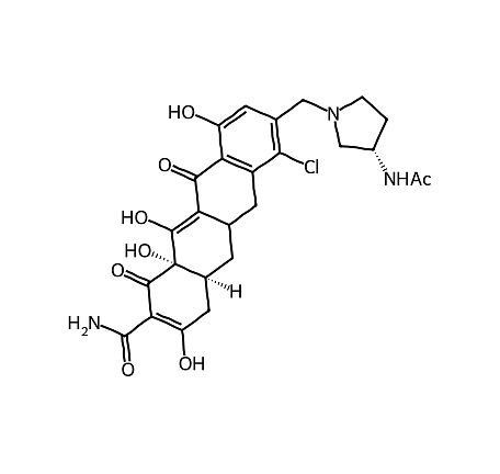 CC(=O)N[C@H]1CCN(Cc2cc(O)c3c(c2Cl)CC2C[C@H]4CC(O)=C(C(N)=O)C(=O)[C@@]4(O)C(O)=C2C3=O)C1